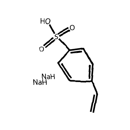 C=Cc1ccc(S(=O)(=O)O)cc1.[NaH].[NaH]